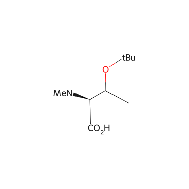 CN[C@H](C(=O)O)C(C)OC(C)(C)C